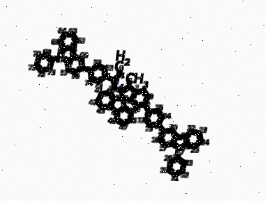 C=C/C(=C\C1=C(C)c2ccc(-c3ccc(-c4ccc5c(c4)c4ccccc4p5-c4ccccc4)cc3)cc2C12c1ccccc1-c1ccccc12)c1ccc(-c2ccc3c(c2)c2ccccc2p3-c2ccccc2)cc1